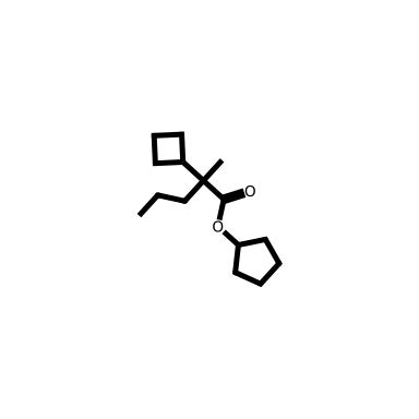 CCCC(C)(C(=O)OC1CCCC1)C1CCC1